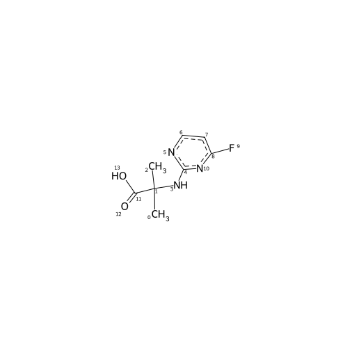 CC(C)(Nc1nccc(F)n1)C(=O)O